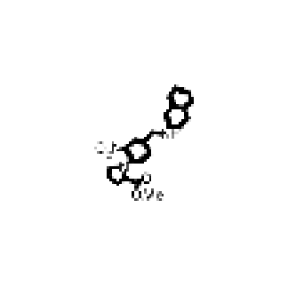 COC(=O)C1CCCN1c1ccc(CNc2ccc3ccccc3c2)cc1[N+](=O)[O-]